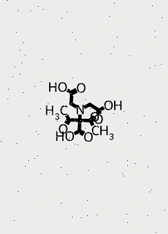 CC(=O)C(C(C)=O)(C(=O)O)N(CC(=O)O)CC(=O)O